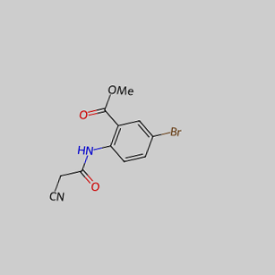 COC(=O)c1cc(Br)ccc1NC(=O)CC#N